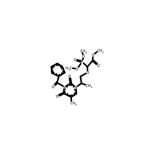 COC(=O)C(OCC(C)n1cc(C)c(=O)n(C(=O)c2ccccc2)c1=O)P(=O)(OC)OC